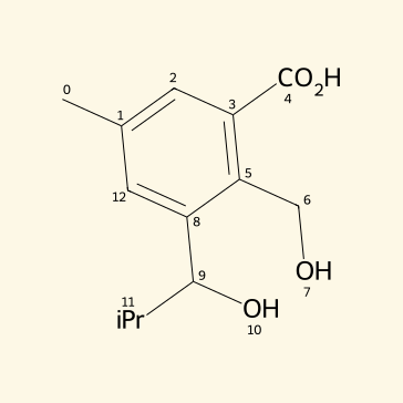 Cc1cc(C(=O)O)c(CO)c(C(O)C(C)C)c1